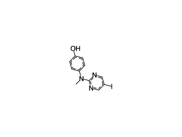 CN(c1ccc(O)cc1)c1ncc(I)cn1